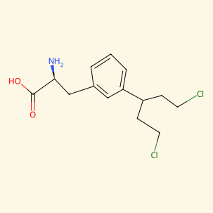 N[C@@H](Cc1cccc(C(CCCl)CCCl)c1)C(=O)O